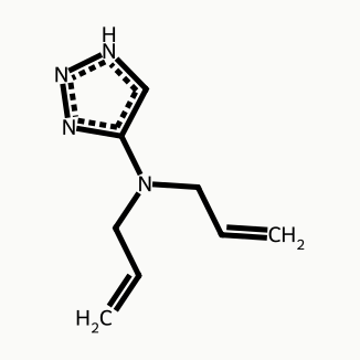 C=CCN(CC=C)c1c[nH]nn1